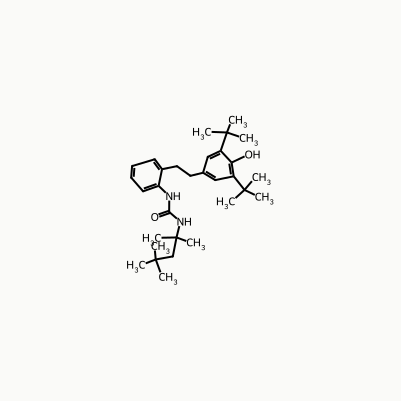 CC(C)(C)CC(C)(C)NC(=O)Nc1ccccc1CCc1cc(C(C)(C)C)c(O)c(C(C)(C)C)c1